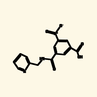 O=C(O)c1cc(C(=O)NCc2ccccn2)cc([N+](=O)[O-])c1